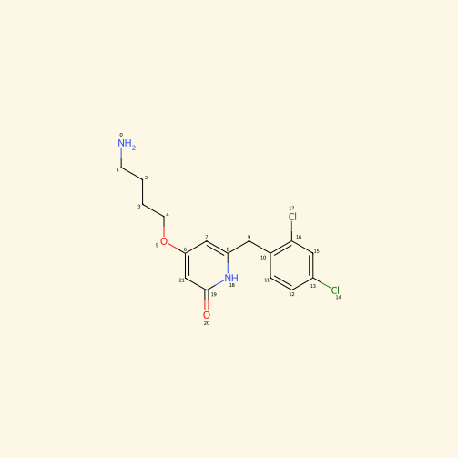 NCCCCOc1cc(Cc2ccc(Cl)cc2Cl)[nH]c(=O)c1